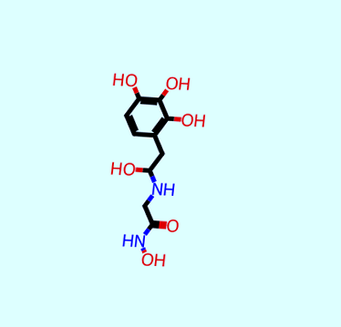 O=C(CNC(O)Cc1ccc(O)c(O)c1O)NO